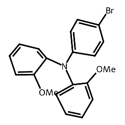 COc1ccccc1N(c1ccc(Br)cc1)c1ccccc1OC